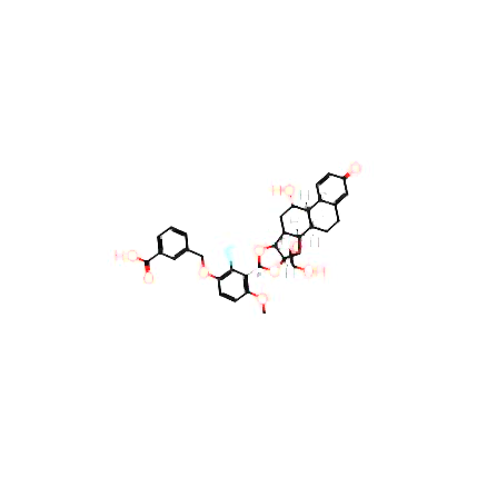 COc1ccc(OCc2cccc(C(=O)O)c2)c(F)c1[C@@H]1O[C@@H]2C[C@H]3[C@@H]4CCC5=CC(=O)C=C[C@]5(C)[C@H]4[C@@H](O)C[C@]3(C)[C@]2(C(=O)CO)O1